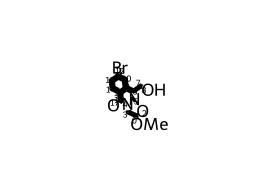 COC(=O)Cn1nc(CO)c2cc(Br)ccc2c1=O